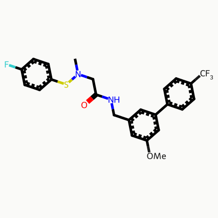 COc1cc(CNC(=O)CN(C)Sc2ccc(F)cc2)cc(-c2ccc(C(F)(F)F)cc2)c1